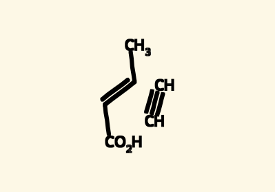 C#C.CC=CC(=O)O